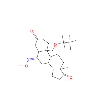 CON=C1CC2C3CCC(=O)C3(C)CCC2C2(CO[Si](C)(C)C(C)(C)C)CCC(=O)CC12